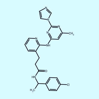 Cc1cc(Nc2ncccc2CCC(=O)NC(C)c2ccc(Cl)cc2)nc(-n2ccnc2)n1